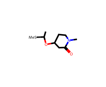 CSC(C)OC1CCN(C)C(=O)C1